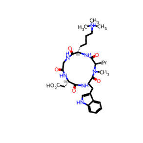 CC(C)C1C(=O)N[C@@H](CCCC[N+](C)(C)C)C(=O)NCC(=O)N[C@@H](CC(=O)O)C(=O)NC(Cc2c[nH]c3ccccc23)C(=O)N1C